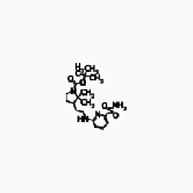 CC(C)(C)OC(=O)N1CCC(CCNc2cccc(S(N)(=O)=O)n2)C1(C)C